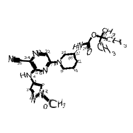 Cn1cc(Nc2nc(N3CCC[C@@H](NC(=O)OC(C)(C)C)C3)cnc2C#N)cn1